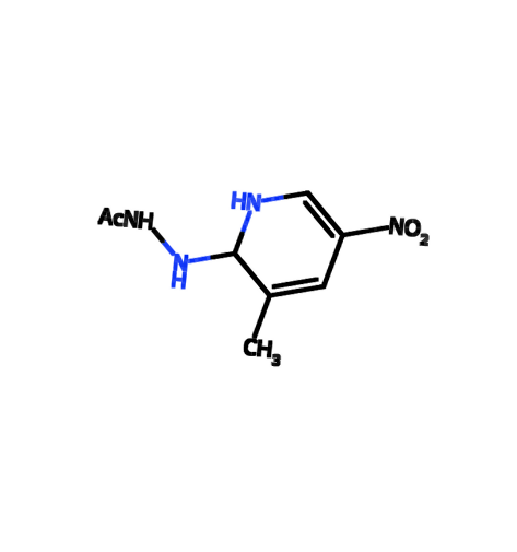 CC(=O)NNC1NC=C([N+](=O)[O-])C=C1C